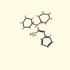 CC(=Cc1ccccc1)P(C1CCCCC1)C1CCCCC1